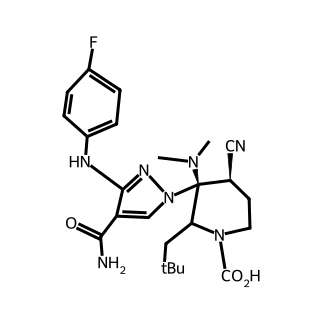 CN(C)[C@]1(n2cc(C(N)=O)c(Nc3ccc(F)cc3)n2)C(CC(C)(C)C)N(C(=O)O)CC[C@@H]1C#N